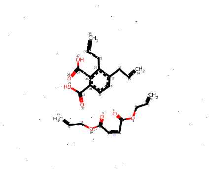 C=CCOC(=O)/C=C\C(=O)OCC=C.C=CCc1ccc(C(=O)O)c(C(=O)O)c1CC=C